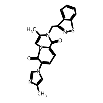 Cc1cn(-c2ccc3c(=O)n(Cc4nsc5ccccc45)c(C)cn3c2=O)cn1